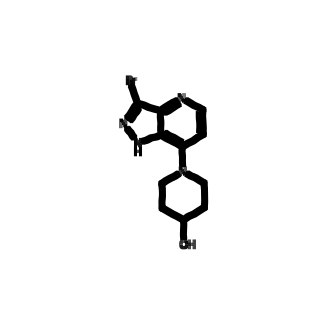 OC1CCN(c2ccnc3c(Br)n[nH]c23)CC1